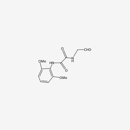 COc1cccc(OC)c1NC(=O)C(=O)NC[C]=O